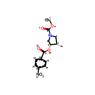 C[C@H]1CN(C(=O)OC(C)(C)C)C[C@H]1OC(=O)c1ccc([N+](=O)[O-])cc1